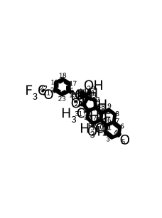 C[C@]12C=CC(=O)C=C1CC[C@H]1[C@@H]3C[C@H]4CN(c5cccc(OC(F)(F)F)c5)O[C@@]4(C(=O)CO)[C@@]3(C)C[C@H](O)[C@@]12F